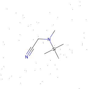 CN(CC#N)[Si](C)(C)C